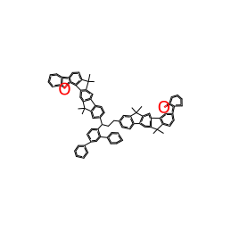 CC1(C)c2cc(CCC(c3ccc4c(c3)C(C)(C)c3cc5c(cc3-4)C(C)(C)c3ccc4c(oc6ccccc64)c3-5)c3ccc(-c4ccccc4)cc3-c3ccccc3)ccc2-c2cc3c(cc21)-c1c(ccc2c1oc1ccccc12)C3(C)C